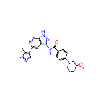 COC1CCCN(c2ccc(C(=O)Nc3n[nH]c4cnc(-c5cnn(C)c5C)cc34)cc2)C1